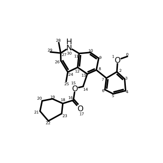 COc1ccccc1-c1ccc2c(c1COC(=O)C1CCCCC1)C(C)=CC(C)(C)N2